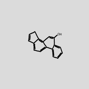 Oc1cc2c3c(ccc2c2ccccc12)C=CC3